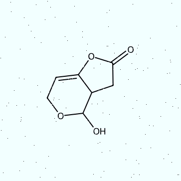 O=C1CC2C(=CCOC2O)O1